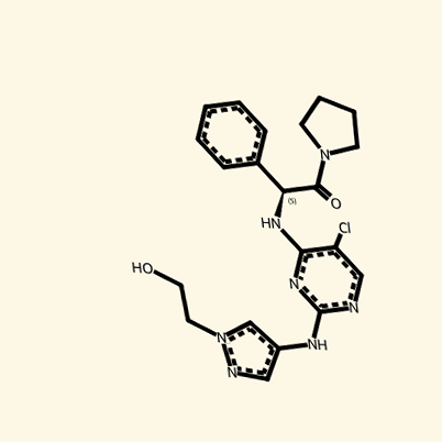 O=C([C@@H](Nc1nc(Nc2cnn(CCO)c2)ncc1Cl)c1ccccc1)N1CCCC1